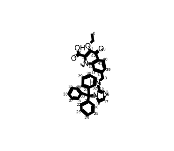 CCOc1c(C(=O)O)n(C)c2cc(CNc3nccn3C(c3ccccc3)(c3ccccc3)c3ccccc3)ccc2c1=O